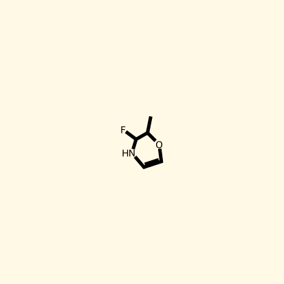 CC1OC=CNC1F